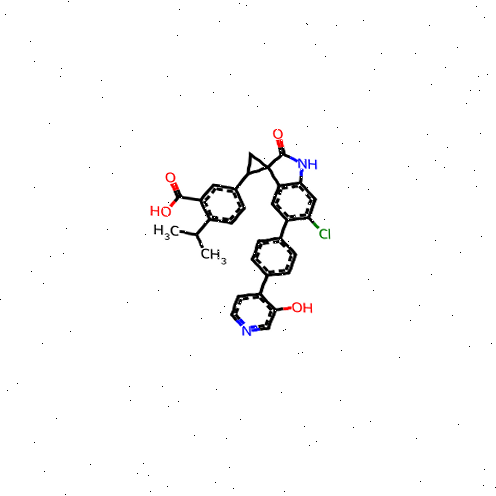 CC(C)c1ccc(C2CC23C(=O)Nc2cc(Cl)c(-c4ccc(-c5ccncc5O)cc4)cc23)cc1C(=O)O